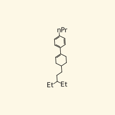 CCCc1ccc(C2=CCC(CCC(CC)CC)CC2)cc1